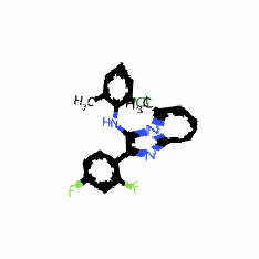 Cc1cccc(Cl)c1Nc1c(-c2ccc(F)cc2F)nc2cccc(C)n12